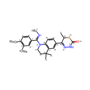 CCCCN=C(c1ccc(OC)c(OC)c1)N1CCC(C)(C)c2cc(C3=NNC(=O)SC3C)ccc21